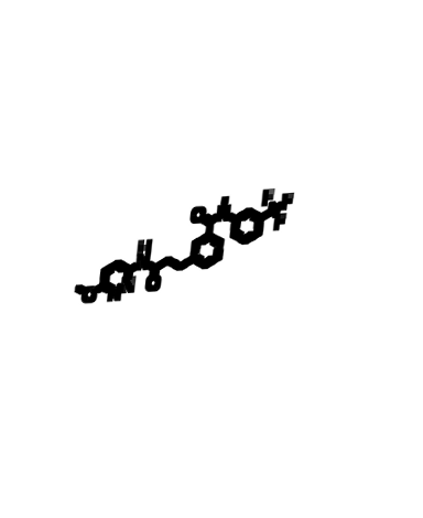 COc1ccc(NC(=O)CCc2cccc(C(=O)N(C)c3cccc(C(F)(F)F)c3)c2)nn1